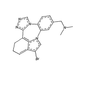 CN(C)Cc1ccc2c(c1)-n1cc(Br)c3c1=C(CCC=3)c1nncn1-2